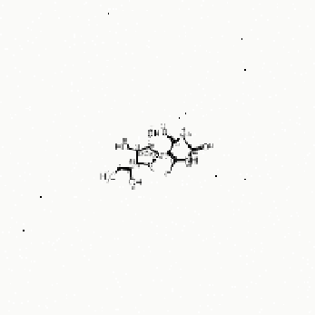 CCC(O)[C@H]1O[C@@H](c2c(F)[nH]c(=O)[nH]c2=O)[C@@H](O)[C@@H]1O